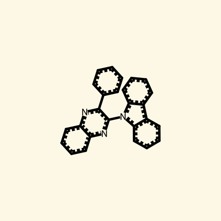 c1ccc(-c2nc3ccccc3nc2-n2c3ccccc3c3ccccc32)cc1